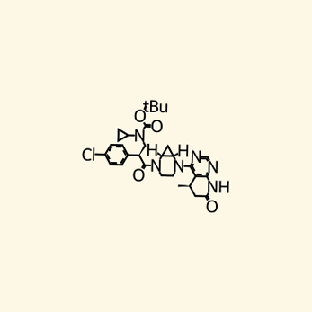 C[C@@H]1CC(=O)Nc2ncnc(N3CCN(C(=O)[C@H](CN(C(=O)OC(C)(C)C)C4CC4)c4ccc(Cl)cc4)[C@@H]4C[C@@H]43)c21